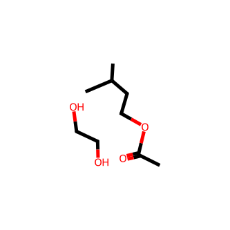 CC(=O)OCCC(C)C.OCCO